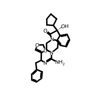 NC(=NC(Cc1ccccc1)C1=COCO1)N1CCN(C(=O)[C@](O)(c2ccccc2)C2CCCC2)CC1